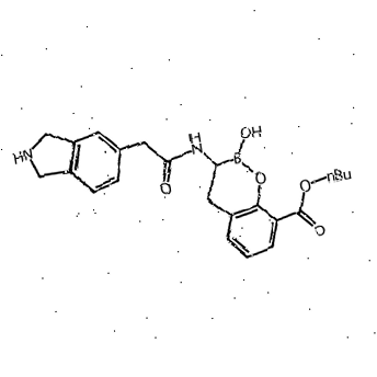 CCCCOC(=O)c1cccc2c1OB(O)C(NC(=O)Cc1ccc3c(c1)CNC3)C2